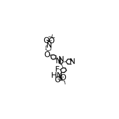 CCCS(=O)(=O)Nc1cccc(-c2cn(-c3ccc(OC4CCN(C(=O)OC(C)(C)C)CC4)cc3)nc2-c2ccncc2)c1F